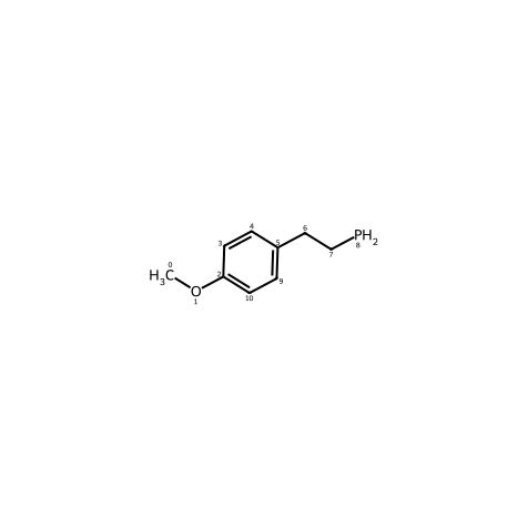 COc1ccc(CCP)cc1